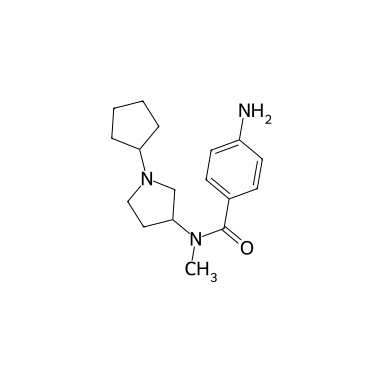 CN(C(=O)c1ccc(N)cc1)C1CCN(C2CCCC2)C1